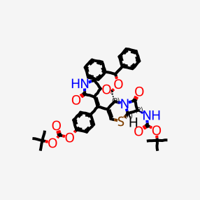 CC(C)(C)OC(=O)N[C@@H]1C(=O)N2[C@@H](C(=O)OC(c3ccccc3)c3ccccc3)C(C(=C3CCNC3=O)c3ccc(OC(=O)OC(C)(C)C)cc3)=CS[C@H]12